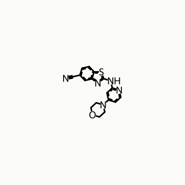 N#Cc1ccc2sc(Nc3cc(N4CCOCC4)ccn3)nc2c1